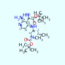 C=CC[C@H](CN(C)C(=O)OC(C)(C)C)Nc1ccnc(N)c1C(=N)C(=O)OC(C)(C)C